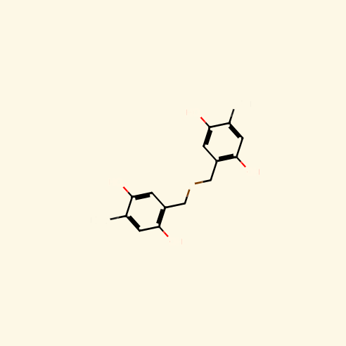 O=S(=O)(O)c1cc(O)c(CSCc2cc(O)c(S(=O)(=O)O)cc2O)cc1O